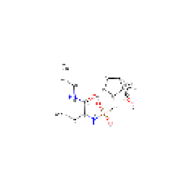 CSCC(NS(=O)(=O)CC12CCC(CC1=O)C2(C)C)C(=O)NCCC#N